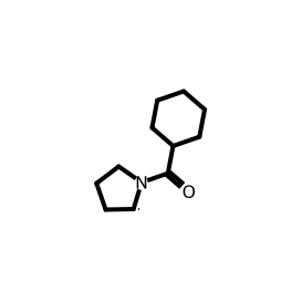 O=C(C1CCCCC1)N1[CH]CCC1